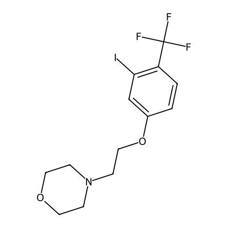 FC(F)(F)c1ccc(OCCN2CCOCC2)cc1I